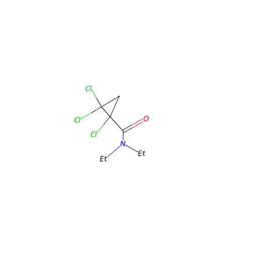 CCN(CC)C(=O)C1(Cl)CC1(Cl)Cl